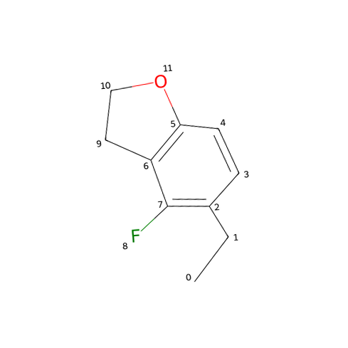 CCc1ccc2c(c1F)CCO2